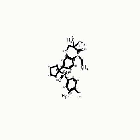 CCN1C(=O)C(C)(C)COc2cc(C3(S(=O)(=O)c4ccc(F)c(C)c4)CCCC3)ccc21